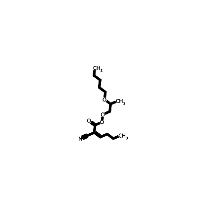 CCCC=C(C#N)C(=O)OOCC(C)OCCCCC